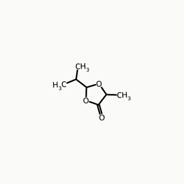 CC1OC(C(C)C)OC1=O